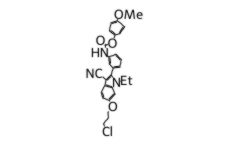 CCn1c(-c2cccc(NC(=O)Oc3ccc(OC)cc3)c2)c(C#N)c2ccc(OCCCCl)cc21